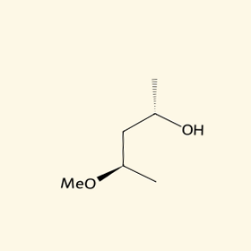 CO[C@H](C)C[C@H](C)O